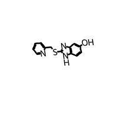 Oc1ccc2[nH]c(SCc3ccccn3)nc2c1